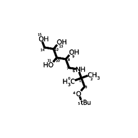 CC(C)(COC(C)(C)C)NCC(O)C(O)C(O)CO